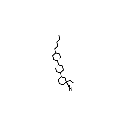 CCCCC[C@H]1CC[C@H]([C@H]2CC[C@H](C3CCCC(C#N)(CC)C3)CC2)CC1